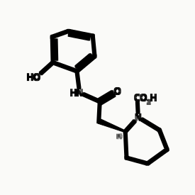 O=C(C[C@@H]1CCCCN1C(=O)O)Nc1ccccc1O